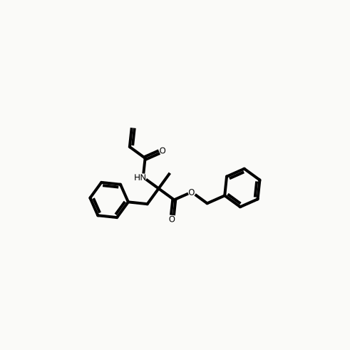 C=CC(=O)NC(C)(Cc1ccccc1)C(=O)OCc1ccccc1